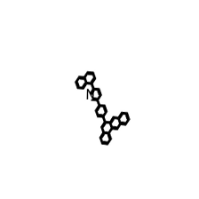 c1ccc2cc3c(cc2c1)c(-c1ccc(-c2ccc(-c4cccc5ccccc45)nc2)cc1)cc1ccccc13